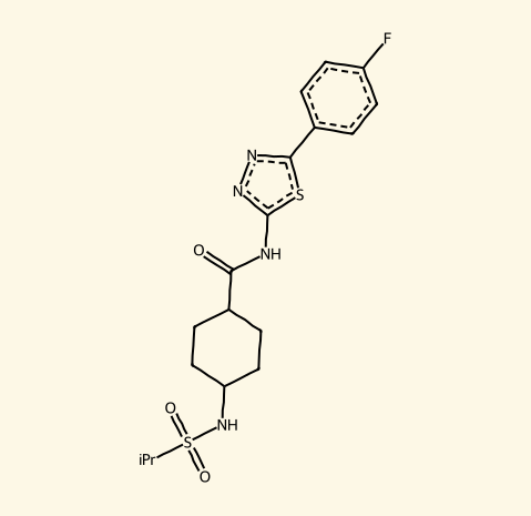 CC(C)S(=O)(=O)NC1CCC(C(=O)Nc2nnc(-c3ccc(F)cc3)s2)CC1